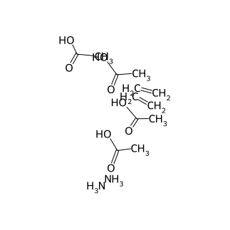 C=C.C=C.CC(=O)O.CC(=O)O.CC(=O)O.CC(=O)O.N.N